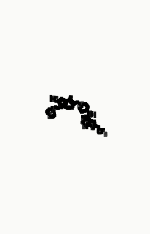 Cc1c(CN2CCC(Nc3ncnc4sc(CC(F)(F)F)cc34)CC2)ccc2c1cc(C#N)n2CCN1CCSCC1